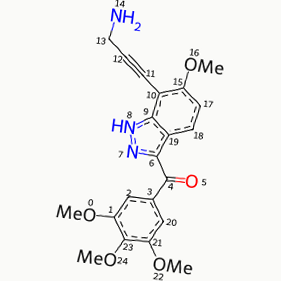 COc1cc(C(=O)c2n[nH]c3c(C#CCN)c(OC)ccc23)cc(OC)c1OC